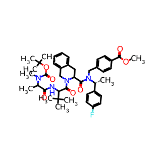 COC(=O)c1ccc(CN(C(=O)C2Cc3ccccc3CN2C(=O)C(NC(=O)C(C)N(C)C(=O)OC(C)(C)C)C(C)(C)C)[C@H](C)c2ccc(F)cc2)cc1